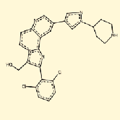 OCc1c(-c2c(Cl)cccc2Cl)nc2c3cc(-c4cnn(C5CCNCC5)c4)cnc3ccn12